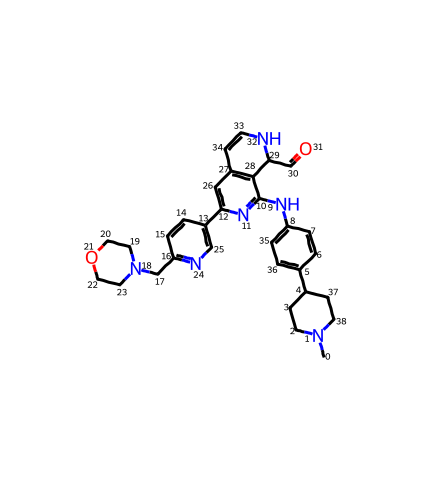 CN1CCC(c2ccc(Nc3nc(-c4ccc(CN5CCOCC5)nc4)cc4c3C(C=O)NC=C4)cc2)CC1